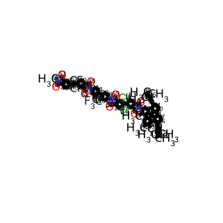 Cc1ccc(C2(c3ccc(N4C(=O)c5cc(Cl)c(-c6cc7c(cc6Cl)C(=O)N(c6ccc(-c8ccc(N9C(=O)c%10ccc(C(c%11ccc%12c(c%11)C(=O)N(C)C%12=O)(C(F)(F)F)C(F)(F)F)cc%10C9=O)cc8C(F)(F)F)c(C(F)(F)F)c6)C7=O)cc5C4=O)c(C)c3)c3cc(C#C[Si](C)(C)C)ccc3-c3ccc(C#C[Si](C)(C)C)cc32)cc1C